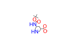 COC(=O)C1CNCC(NC(=O)OC(C)(C)C)C1